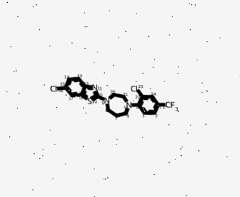 FC(F)(F)c1ccc(N2CCCN(c3nc4ccc(Cl)cc4s3)CC2)c(Cl)c1